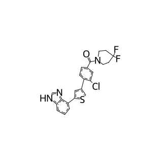 O=C(c1ccc(-c2csc(-c3cccc4[nH]cnc34)c2)c(Cl)c1)N1CCC(F)(F)CC1